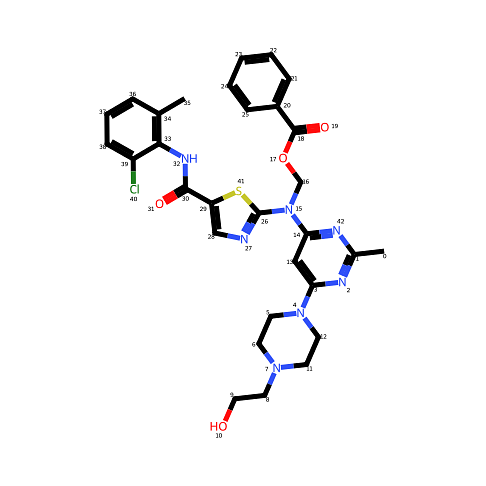 Cc1nc(N2CCN(CCO)CC2)cc(N(COC(=O)c2ccccc2)c2ncc(C(=O)Nc3c(C)cccc3Cl)s2)n1